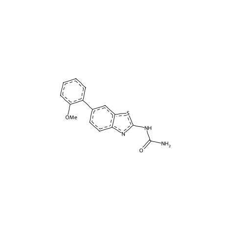 COc1ccccc1-c1ccc2nc(NC(N)=O)sc2c1